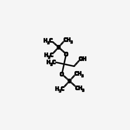 CC(CO)(O[Si](C)(C)C)O[Si](C)(C)C